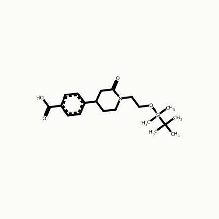 CC(C)(C)[Si](C)(C)OCCN1CCC(c2ccc(C(=O)O)cc2)CC1=O